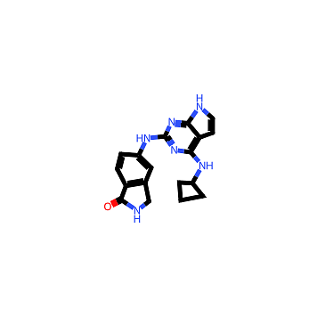 O=C1NCc2cc(Nc3nc(NC4CCC4)c4cc[nH]c4n3)ccc21